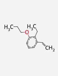 C=Cc1cccc(OCCC)c1CC